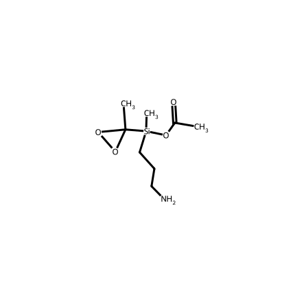 CC(=O)O[Si](C)(CCCN)C1(C)OO1